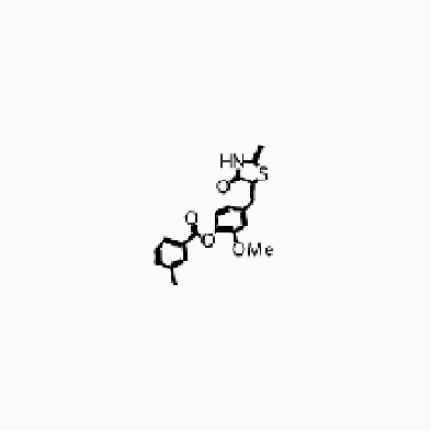 C=c1[nH]c(=O)/c(=C\c2ccc(OC(=O)c3cccc(C)c3)c(OC)c2)s1